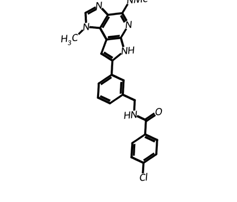 CNc1nc2[nH]c(-c3cccc(CNC(=O)c4ccc(Cl)cc4)c3)cc2c2c1ncn2C